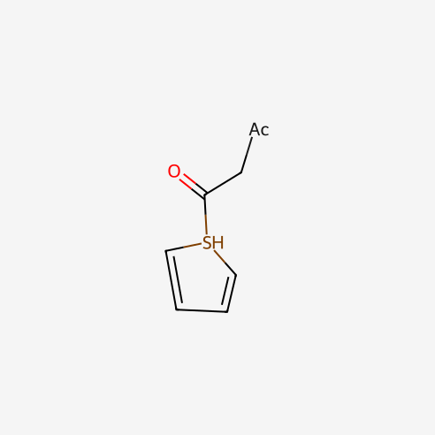 CC(=O)CC(=O)[SH]1C=CC=C1